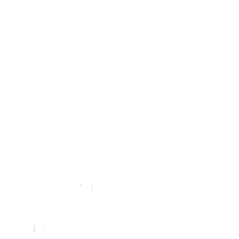 CCCCCCCCCCCCCCCCCC[AsH]CCO